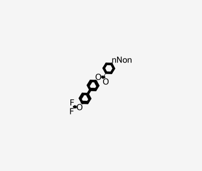 CCCCCCCCC[C@H]1CC[C@H](C(=O)Oc2ccc(-c3ccc(OC(F)F)cc3)cc2)CC1